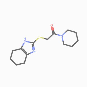 O=C(CSc1nc2c([nH]1)CCCC2)N1CCCCC1